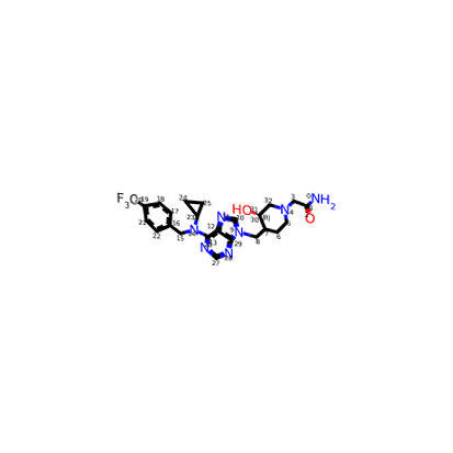 NC(=O)CN1CCC(Cn2cnc3c(N(Cc4ccc(C(F)(F)F)cc4)C4CC4)ncnc32)[C@@H](O)C1